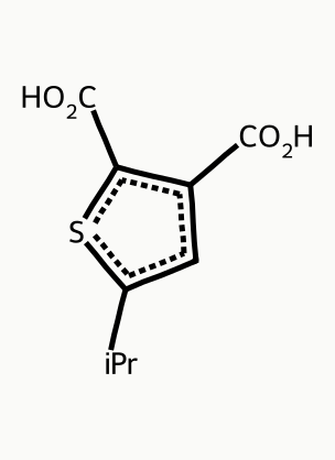 CC(C)c1cc(C(=O)O)c(C(=O)O)s1